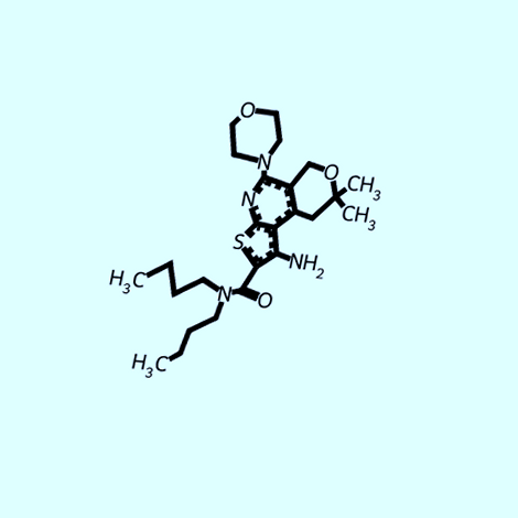 CCCCN(CCCC)C(=O)c1sc2nc(N3CCOCC3)c3c(c2c1N)CC(C)(C)OC3